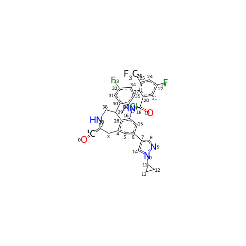 O=C=C1Cc2cc(-c3cnn(C4CC4)c3)cc(NC(=O)c3cc(F)cc(C(F)(F)F)c3)c2C(c2cc(F)ccc2Cl)CN1